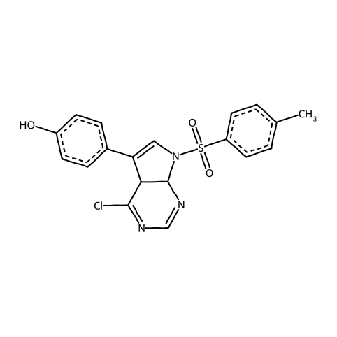 Cc1ccc(S(=O)(=O)N2C=C(c3ccc(O)cc3)C3C(Cl)=NC=NC32)cc1